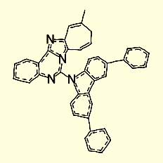 CC1=Cc2nc3c4ccccc4nc(-n4c5ccc(-c6ccccc6)cc5c5cc(-c6ccccc6)ccc54)n3c2C=CC1